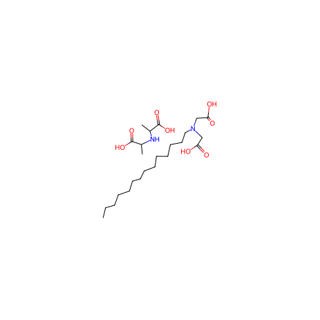 CC(NC(C)C(=O)O)C(=O)O.CCCCCCCCCCCCCCN(CC(=O)O)CC(=O)O